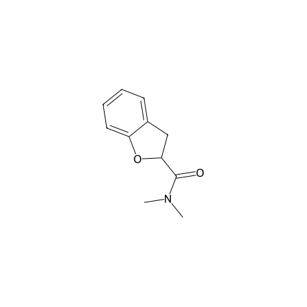 CN(C)C(=O)C1Cc2ccccc2O1